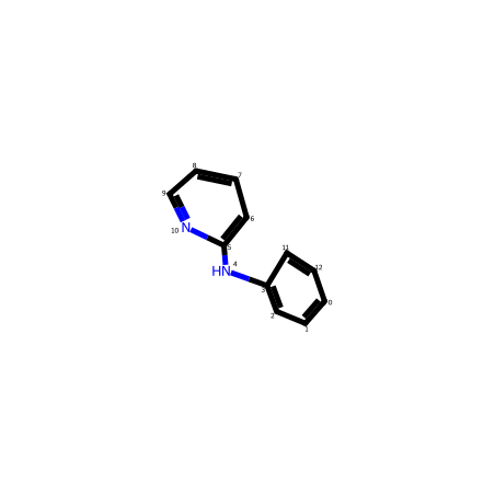 [c]1ccc(Nc2ccccn2)cc1